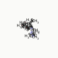 [C-]#[N+]C1=C(/C=C/C=C2\CC(C)(C)CC(/C=C/c3cc4sc(N(c5ccc(N(C)C)cc5)c5ccc(N(CC)CCO[Si](c6ccccc6)(c6ccccc6)C(C)(C)C)cc5)cc4s3)=C2CCCO[Si](c2ccccc2)(c2ccccc2)C(C)(C)C)C(C)(c2ccccc2)O/C1=C(\C)[N+]#[C-]